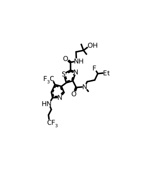 CCC(F)CCN(C)C(=O)c1nc(C(=O)NCC(C)(C)O)sc1-c1cnc(NCCC(F)(F)F)cc1C(F)(F)F